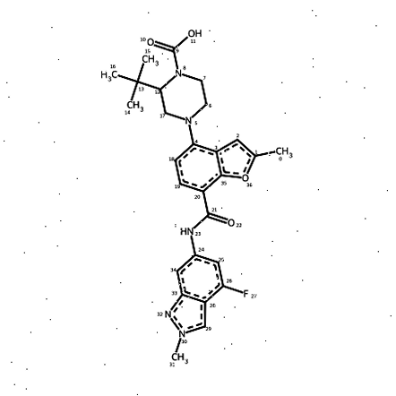 Cc1cc2c(N3CCN(C(=O)O)C(C(C)(C)C)C3)ccc(C(=O)Nc3cc(F)c4cn(C)nc4c3)c2o1